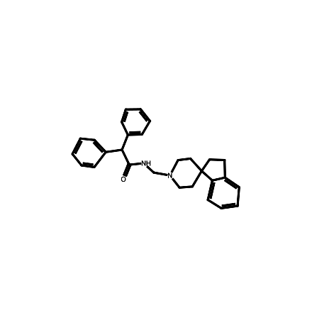 O=C(NCN1CCC2(CCc3ccccc32)CC1)C(c1ccccc1)c1ccccc1